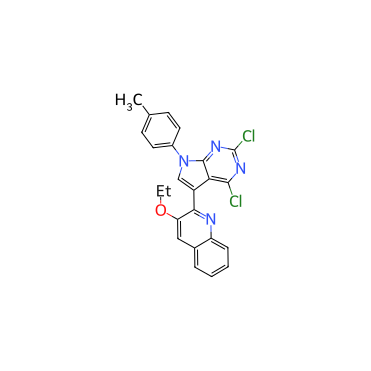 [CH2]COc1cc2ccccc2nc1-c1cn(-c2ccc(C)cc2)c2nc(Cl)nc(Cl)c12